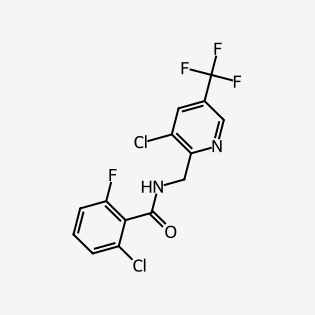 O=C(NCc1ncc(C(F)(F)F)cc1Cl)c1c(F)cccc1Cl